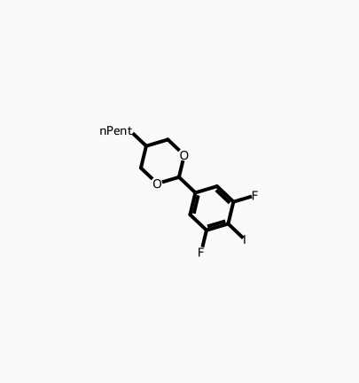 CCCCCC1COC(c2cc(F)c(I)c(F)c2)OC1